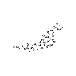 Cc1cc(Oc2ccccc2)ccc1N1C(=O)Nc2c(C(=O)N[C@H]3CC[C@H](NC(=O)/C=C/CN)CC3)sc3nccc1c23